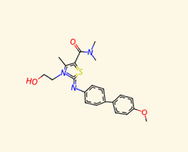 COc1ccc(-c2ccc(/N=c3\sc(C(=O)N(C)C)c(C)n3CCO)cc2)cc1